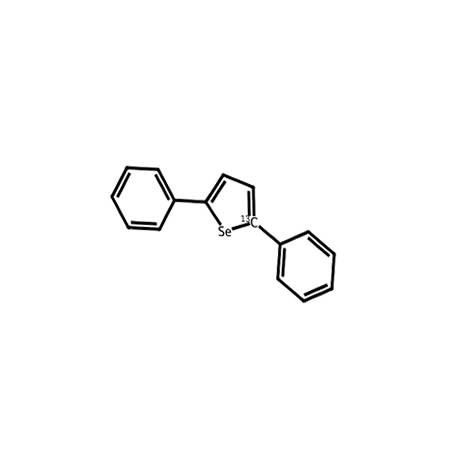 c1ccc(-c2cc[13c](-c3ccccc3)[se]2)cc1